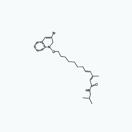 CC(C=CCCCCCCCON1CC(Br)=Cc2ccccc21)=CC(=O)NCC(C)C